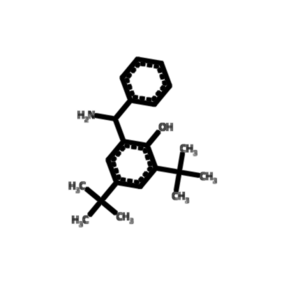 CC(C)(C)c1cc(C(N)c2ccccc2)c(O)c(C(C)(C)C)c1